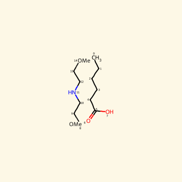 CCCCCC(=O)O.COCCNCCOC